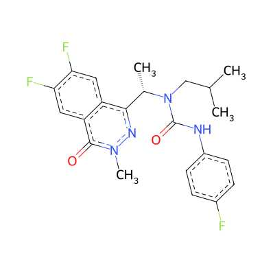 CC(C)CN(C(=O)Nc1ccc(F)cc1)[C@@H](C)c1nn(C)c(=O)c2cc(F)c(F)cc12